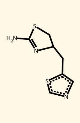 NC1=NC(Cc2cncs2)CS1